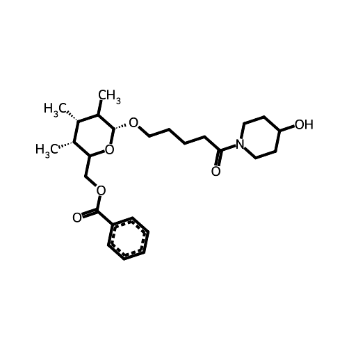 CC1[C@H](OCCCCC(=O)N2CCC(O)CC2)OC(COC(=O)c2ccccc2)[C@H](C)[C@@H]1C